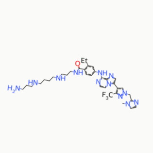 CCc1cc(Nc2nccn3c(-c4cn(Cc5nccn5C)nc4C(F)(F)F)cnc23)ccc1C(=O)NCCCNCCCCNCCCN